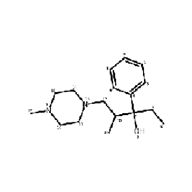 CCC(O)(c1ccccc1)C(C)CN1CCN(C)CC1